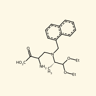 CCOC(OCC)[C@H](C)N(Cc1cccc2ccccc12)CC(N)C(=O)C(=O)O